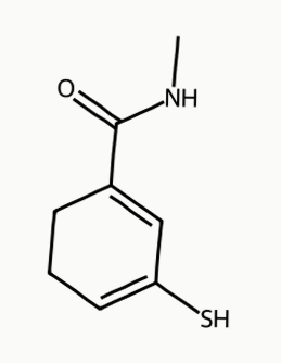 CNC(=O)C1=CC(S)=CCC1